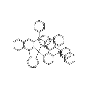 c1ccc(-c2ccc(N(c3ccccc3)c3cc4ccccc4c4c3C3(c5ccccc5-c5c(N(c6ccccc6)c6ccccc6)cccc53)c3ccccc3-4)cc2)cc1